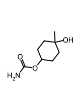 CC1(O)CCC(OC(N)=O)CC1